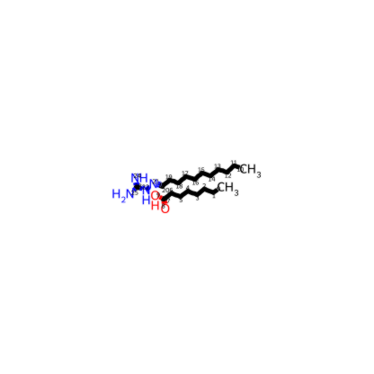 CCCCCCCC(=O)O.CCCCCCCCCC/C=N/NC(=N)N